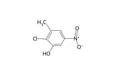 Cc1cc([N+](=O)[O-])cc(O)c1Cl